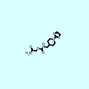 NC(=O)COC(=O)NCC1CCN(c2nccs2)CC1